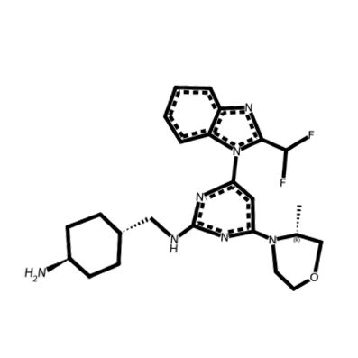 C[C@@H]1COCCN1c1cc(-n2c(C(F)F)nc3ccccc32)nc(NC[C@H]2CC[C@H](N)CC2)n1